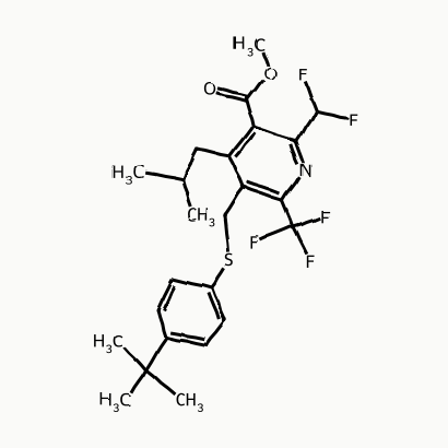 COC(=O)c1c(C(F)F)nc(C(F)(F)F)c(CSc2ccc(C(C)(C)C)cc2)c1CC(C)C